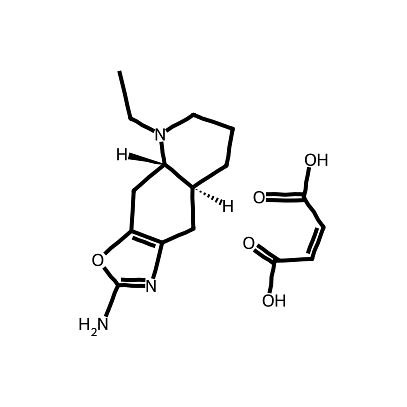 CCN1CCC[C@H]2Cc3nc(N)oc3C[C@@H]21.O=C(O)/C=C\C(=O)O